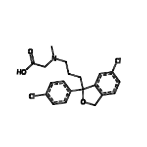 CN(CCCC1(c2ccc(Cl)cc2)OCc2ccc(Cl)cc21)CC(=O)O